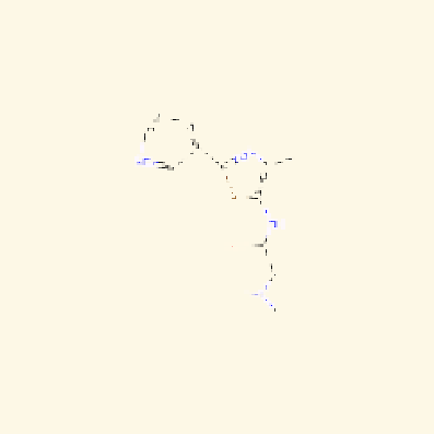 Cc1nc(-c2cccnc2)sc1NC(=O)CN(C)C